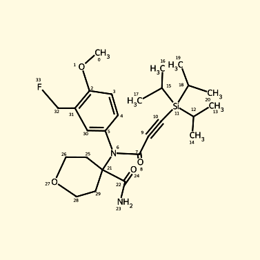 COc1ccc(N(C(=O)C#C[Si](C(C)C)(C(C)C)C(C)C)C2(C(N)=O)CCOCC2)cc1CF